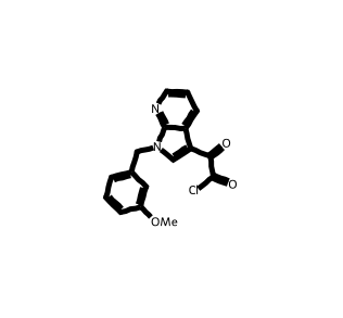 COc1cccc(Cn2cc(C(=O)C(=O)Cl)c3cccnc32)c1